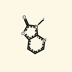 O=c1oc2cccnc2n1I